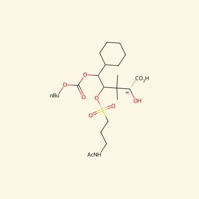 CCCCOC(=O)OC(C1CCCCC1)C(OS(=O)(=O)CCCNC(C)=O)C(C)(C)[C@@H](O)C(=O)O